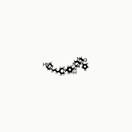 O=c1cnc2cnc(Nc3ccc(N4CCC(CCCN5CCNCC5)CC4)cc3)nc2n1C1CCCC1